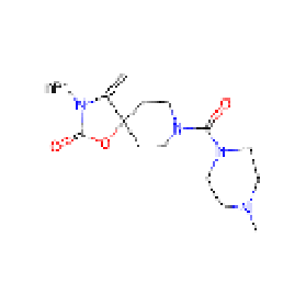 C=C1N(CCC)C(=O)OC12CCN(C(=O)N1CCN(C)CC1)CC2